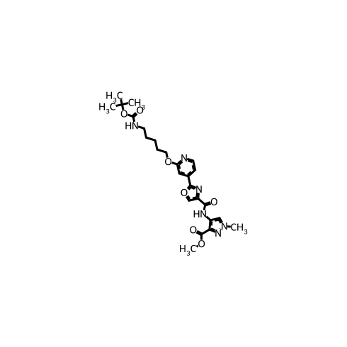 COC(=O)c1nn(C)cc1NC(=O)c1coc(-c2ccnc(OCCCCCNC(=O)OC(C)(C)C)c2)n1